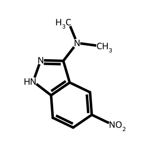 CN(C)c1n[nH]c2ccc([N+](=O)[O-])cc12